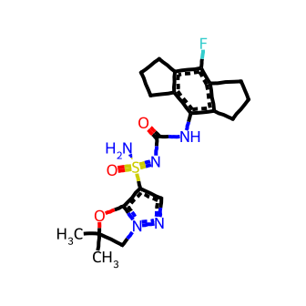 CC1(C)Cn2ncc([S@@](N)(=O)=NC(=O)Nc3c4c(c(F)c5c3CCC5)CCC4)c2O1